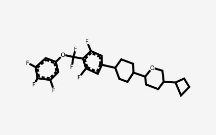 Fc1cc(OC(F)(F)c2c(F)cc(C3CCC(C4CCC(C5CCC5)CO4)CC3)cc2F)cc(F)c1F